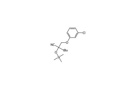 CC(C)(C)C(C#N)(COc1cccc(Cl)c1)O[Si](C)(C)C